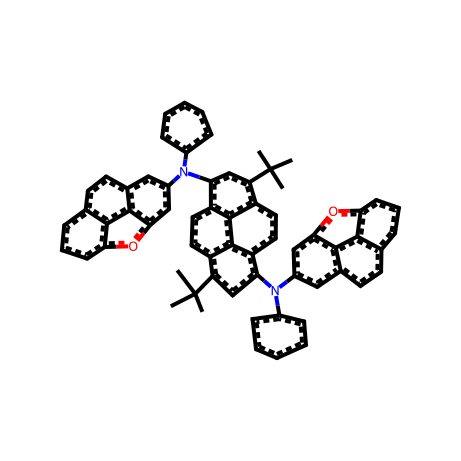 CC(C)(C)c1cc(N(c2ccccc2)c2cc3ccc4cccc5oc(c2)c3c45)c2ccc3c(C(C)(C)C)cc(N(c4ccccc4)c4cc5ccc6cccc7oc(c4)c5c67)c4ccc1c2c43